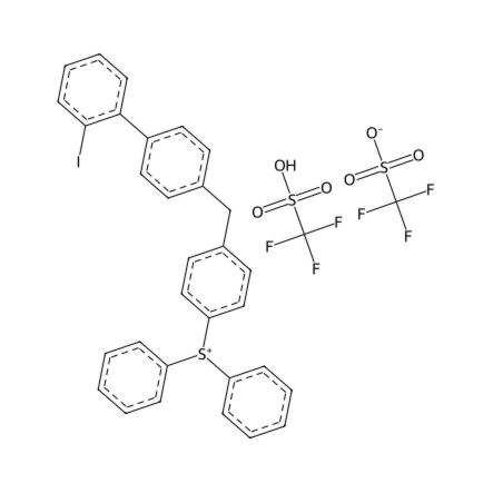 Ic1ccccc1-c1ccc(Cc2ccc([S+](c3ccccc3)c3ccccc3)cc2)cc1.O=S(=O)(O)C(F)(F)F.O=S(=O)([O-])C(F)(F)F